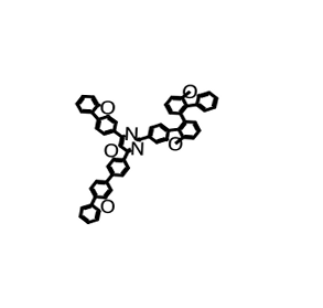 c1ccc2c(c1)oc1cc(-c3ccc4c(c3)oc3c(-c5ccc6c(c5)oc5ccccc56)nc(-c5ccc6c(c5)oc5cccc(-c7cccc8oc9ccccc9c78)c56)nc34)ccc12